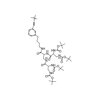 CC(C)(C)OC(=O)NCC(NC(=O)OC(C)(C)C)C(=O)NCC(NC(=O)C(CNC(=O)OC(C)(C)C)NC(=O)OC(C)(C)C)C(=O)NCCCCc1cccc(C#C[Si](C)(C)C)c1